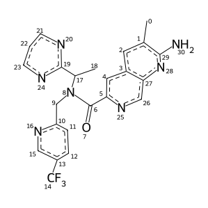 Cc1cc2cc(C(=O)N(Cc3ccc(C(F)(F)F)cn3)C(C)c3ncccn3)ncc2nc1N